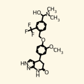 COc1cc(C2CC(=O)Nc3n[nH]cc32)ccc1OCc1ccc(C(O)N(C)C)cc1C(F)(F)F